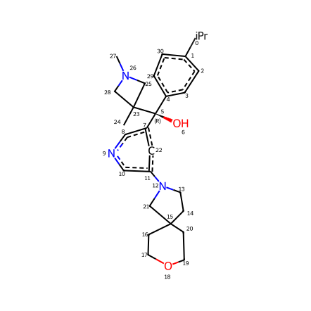 CC(C)c1ccc([C@](O)(c2cncc(N3CCC4(CCOCC4)C3)c2)C2(C)CN(C)C2)cc1